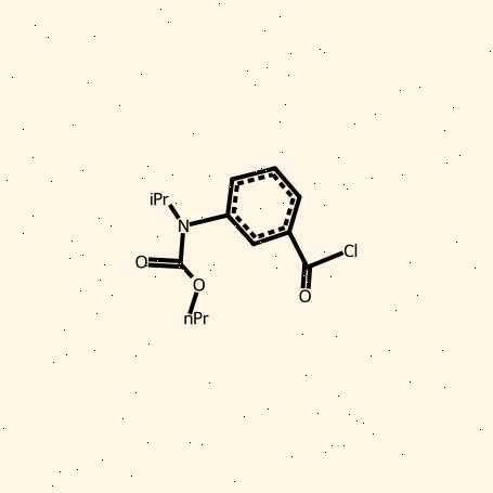 CCCOC(=O)N(c1cccc(C(=O)Cl)c1)C(C)C